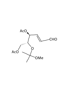 COC(C)(C)O[C@H](COC(C)=O)[C@H](/C=C/C=O)OC(C)=O